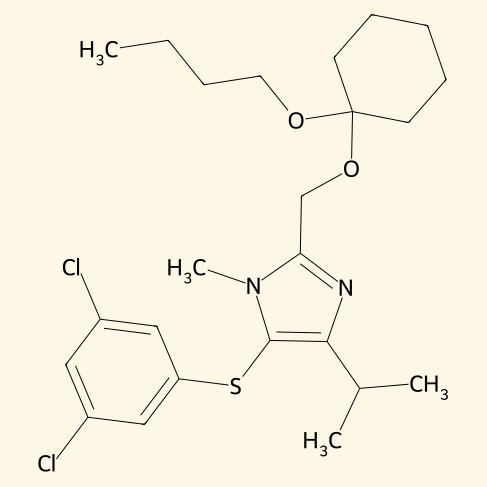 CCCCOC1(OCc2nc(C(C)C)c(Sc3cc(Cl)cc(Cl)c3)n2C)CCCCC1